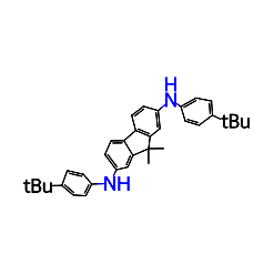 CC(C)(C)c1ccc(Nc2ccc3c(c2)C(C)(C)c2cc(Nc4ccc(C(C)(C)C)cc4)ccc2-3)cc1